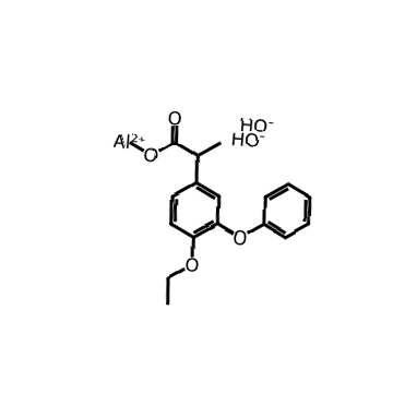 CCOc1ccc(C(C)C(=O)[O][Al+2])cc1Oc1ccccc1.[OH-].[OH-]